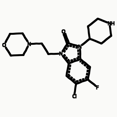 O=c1n(CCN2CCOCC2)c2cc(Cl)c(F)cc2n1C1CCNCC1